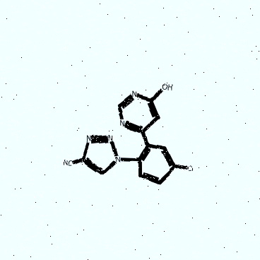 N#Cc1cn(-c2ccc(Cl)cc2-c2cc(O)ncn2)nn1